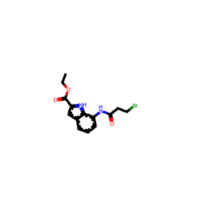 CCOC(=O)c1cc2cccc(NC(=O)CCBr)c2[nH]1